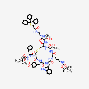 C[C@@H](O)[C@H](NC(=O)[C@@H]1CSSC[C@H](NC(=O)[C@@H](Cc2ccccc2)NC(=O)OC(C)(C)C)C(=O)N[C@@H](Cc2ccc(O)cc2)C(=O)N[C@H](Cc2c[nH]c3ccccc23)C(=O)N[C@@H](CCCCNC(=O)OC(C)(C)C)C(=O)N[C@@H]([C@@H](C)O)C(=O)N1)C(=O)NCCNC(=O)CCSC(c1ccccc1)(c1ccccc1)c1ccccc1